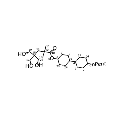 CCCCCC1CCC(C2CCC(OC(=O)C(C)(C)CC(CO)(CO)CO)CC2)CC1